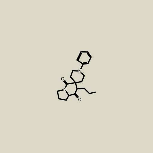 CCCC1C(=O)C2CCCN2C(=O)C12CCN(c1ccccc1)CC2